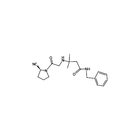 CC(C)(CC(=O)NCc1ccccc1)NCC(=O)N1CCC[C@H]1C#N